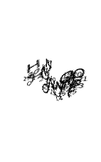 CC1(c2cc3c(c(CN)n2)CN(c2cccc(N4C(=O)OC[C@]4(C)CF)n2)C3=O)CC1